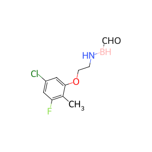 Cc1c(F)cc(Cl)cc1OCCNBC=O